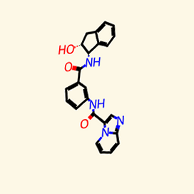 O=C(N[C@H]1c2ccccc2C[C@H]1O)c1cccc(NC(=O)c2cnc3ccccn23)c1